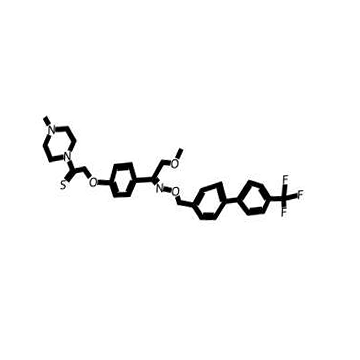 COCC(=NOCc1ccc(-c2ccc(C(F)(F)F)cc2)cc1)c1ccc(OCC(=S)N2CCN(C)CC2)cc1